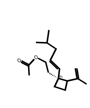 C=C(C)C1CC[C@]1(C=CCC(C)C)CCOC(C)=O